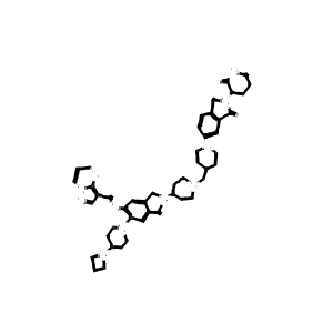 O=C1CCC(N2C(=O)c3ccc(N4CCC(CN5CCC(N6Cc7cc(NC(=O)c8cnn9cccnc89)c(N8CCC(N9CCC9)CC8)cc7C6=O)CC5)CC4)cc3C2=O)C(=O)N1